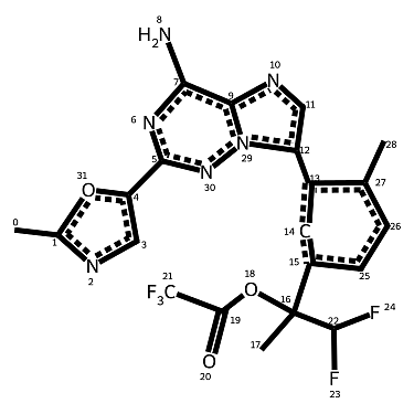 Cc1ncc(-c2nc(N)c3ncc(-c4cc(C(C)(OC(=O)C(F)(F)F)C(F)F)ccc4C)n3n2)o1